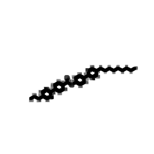 CCCCCCCCCc1cnc(-c2ccc(OC(=O)c3ccc(-c4ncc(CCC)cn4)cc3)cc2)nc1